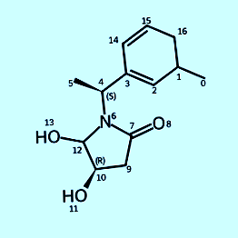 CC1C=C([C@H](C)N2C(=O)C[C@@H](O)C2O)C=CC1